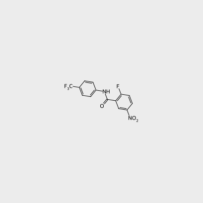 O=C(Nc1ccc(C(F)(F)F)cc1)c1cc([N+](=O)[O-])ccc1F